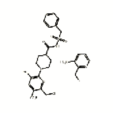 CCOC(=O)c1cc(C#N)c(N2CCC(C(=O)NS(=O)(=O)Cc3ccccc3)CC2)nc1CCl.O=C(O)c1cccnc1CF